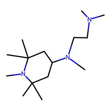 CN(C)CCN(C)C1CC(C)(C)N(C)C(C)(C)C1